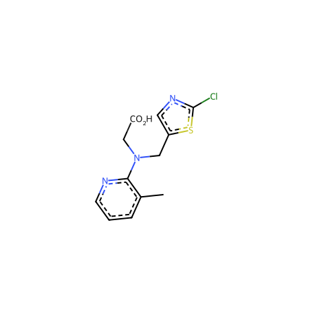 Cc1cccnc1N(CC(=O)O)Cc1cnc(Cl)s1